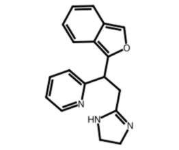 c1ccc(C(CC2=NCCN2)c2occ3ccccc23)nc1